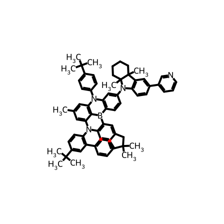 Cc1cc2c3c(c1)N(c1ccc(C(C)(C)C)cc1-c1ccccc1)c1cc4c(cc1B3c1ccc(N3c5ccc(-c6cccnc6)cc5C5(C)CCCCC35C)cc1N2c1ccc(C(C)(C)C)cc1)CC(C)(C)C4